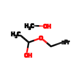 CCCCOC(C)O.CO